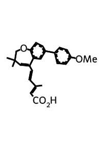 COc1ccc(-c2ccc3c(c2)C(/C=C/C(C)=C/C(=O)O)=CC(C)(C)CO3)cc1